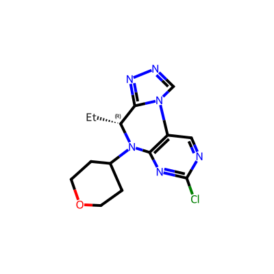 CC[C@@H]1c2nncn2-c2cnc(Cl)nc2N1C1CCOCC1